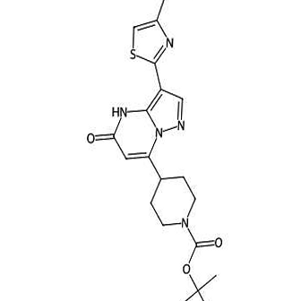 CCc1csc(-c2cnn3c(C4CCN(C(=O)OC(C)(C)C)CC4)cc(=O)[nH]c23)n1